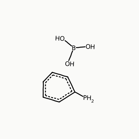 OB(O)O.Pc1ccccc1